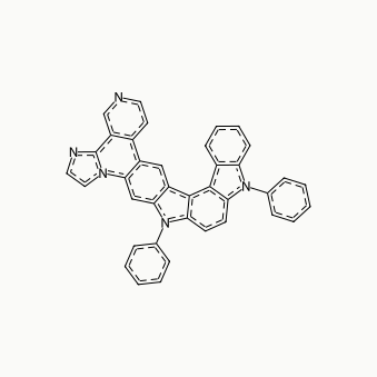 c1ccc(-n2c3ccccc3c3c4c5cc6c7ccncc7c7nccn7c6cc5n(-c5ccccc5)c4ccc32)cc1